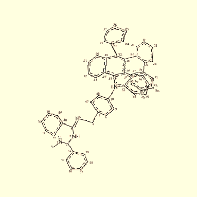 CNC(N/C(=N\Cc1ccc(-n2c3ccccc3c3c(-c4ccccc4-c4ccccc4)c(-c4ccccc4)c4ccccc4c32)cc1)c1ccccc1)c1ccccc1